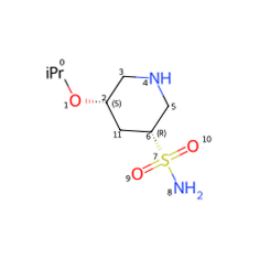 CC(C)O[C@@H]1CNC[C@H](S(N)(=O)=O)C1